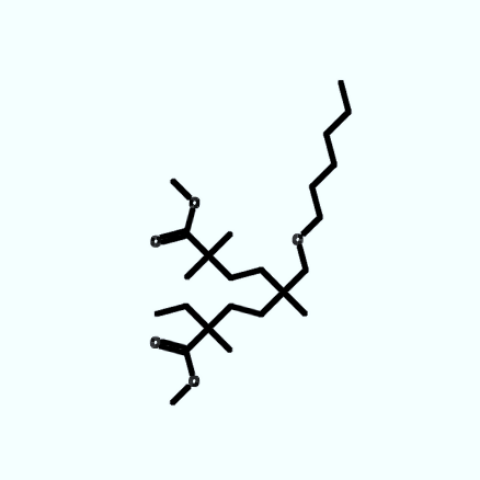 CCCCCCOCC(C)(CCC(C)(C)C(=O)OC)CCC(C)(CC)C(=O)OC